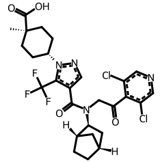 C[C@]1(C(=O)O)CC[C@H](n2ncc(C(=O)N(CC(=O)c3c(Cl)cncc3Cl)[C@H]3C[C@@H]4CC[C@H]3C4)c2C(F)(F)F)CC1